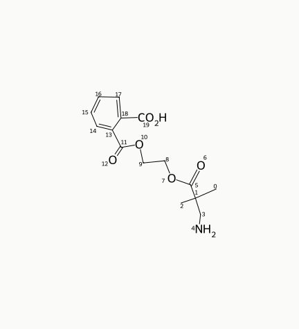 CC(C)(CN)C(=O)OCCOC(=O)c1ccccc1C(=O)O